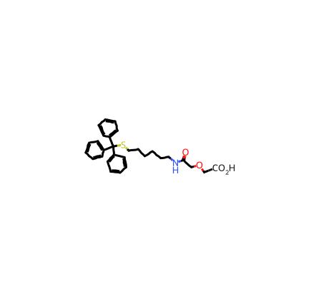 O=C(O)COCC(=O)NCCCCCCSC(c1ccccc1)(c1ccccc1)c1ccccc1